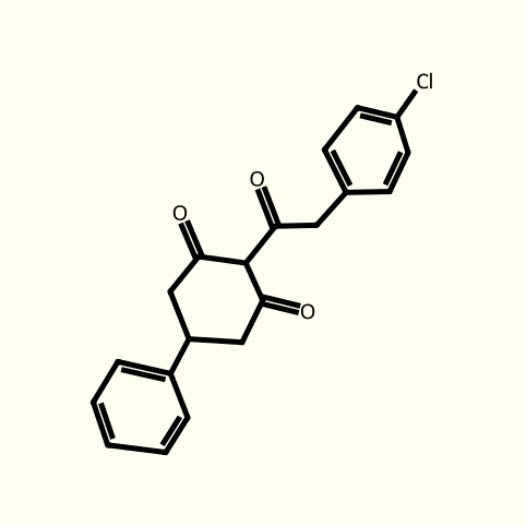 O=C(Cc1ccc(Cl)cc1)C1C(=O)CC(c2ccccc2)CC1=O